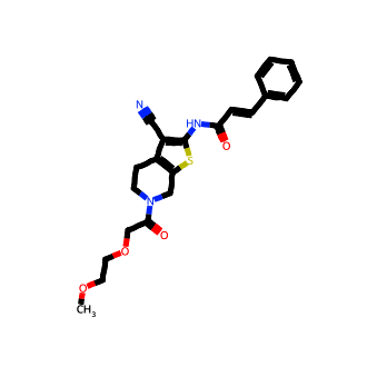 COCCOCC(=O)N1CCc2c(sc(NC(=O)/C=C/c3ccccc3)c2C#N)C1